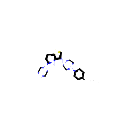 CSc1ccc(N2CCN(c3csc4ccc(N5CCNCC5)nc34)CC2)cc1